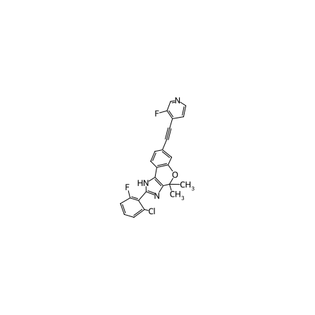 CC1(C)Oc2cc(C#Cc3ccncc3F)ccc2-c2[nH]c(-c3c(F)cccc3Cl)nc21